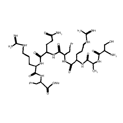 COC(=O)C(CC(C)C)NC(=O)C(CCCNC(=N)N)NC(=O)C(CCC(N)=O)NC(=O)C(CC(C)C)NC(=O)C(CCCNC(=N)N)NC(=O)C(C)NC(=O)C(N)CO